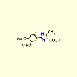 COc1cc2c(cc1OC)-c1nc(C(=O)O)c(C)n1CC2